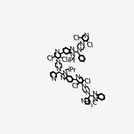 CC(C)Cn1c(C(c2ccccc2)N2CCN(c3c(Cl)cncc3Cl)CC2)nc2ccc(-c3ncc(Cl)c(N4CCN(C(c5cccnc5)c5nc6ccc(-c7ncc(Cl)c(N8CCN(C(c9cccnc9)c9nc%10ccccc%10n9C)CC8)c7Cl)cc6n5CC(C)C)CC4)c3Cl)cc21